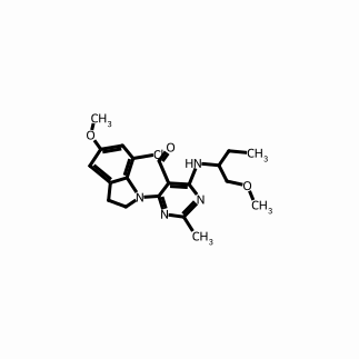 CCC(COC)Nc1nc(C)nc(N2CCc3cc(OC)cc(Cl)c32)c1C=O